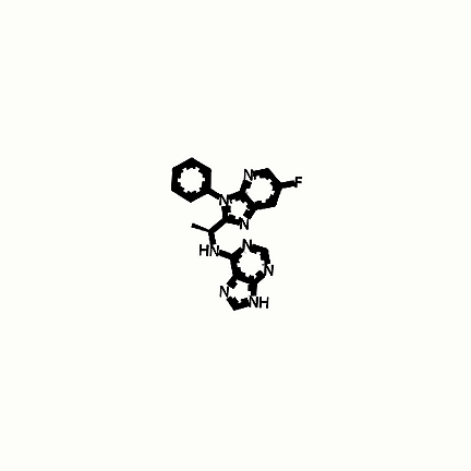 C[C@H](Nc1ncnc2[nH]cnc12)c1nc2cc(F)cnc2n1-c1ccccc1